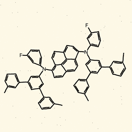 Cc1cccc(-c2cc(-c3cccc(C)c3)cc(N(c3cccc(F)c3)c3ccc4ccc5c(N(c6cccc(F)c6)c6cc(-c7cccc(C)c7)cc(-c7cccc(C)c7)c6)ccc6ccc3c4c65)c2)c1